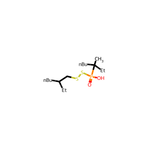 CCCCC(CC)CSSP(=O)(O)C(C)(CC)CCCC